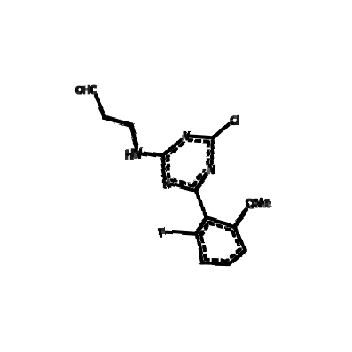 COc1cccc(F)c1-c1nc(Cl)nc(NCCC=O)n1